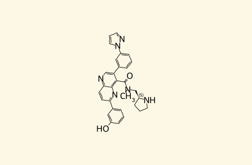 CN(C[C@@H]1CCCN1)C(=O)c1c(-c2cccc(-n3cccn3)c2)cnc2ccc(-c3cccc(O)c3)nc12